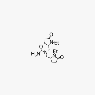 CCN1C(=O)CCC1CN(CC1CCC(=O)N1CC)C(N)=O